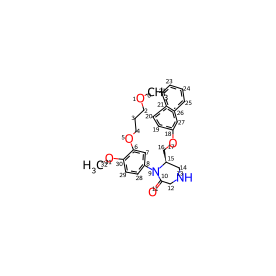 COCCCOc1cc(N2C(=O)CNC[C@@H]2COc2ccc3ccccc3c2)ccc1OC